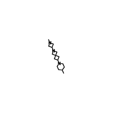 CC1CCN(C2CC3(C2)CN(C2CN(C)C2)C3)CC1